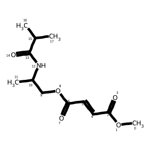 COC(=O)/C=C/C(=O)OCC(C)NC(=O)C(C)C